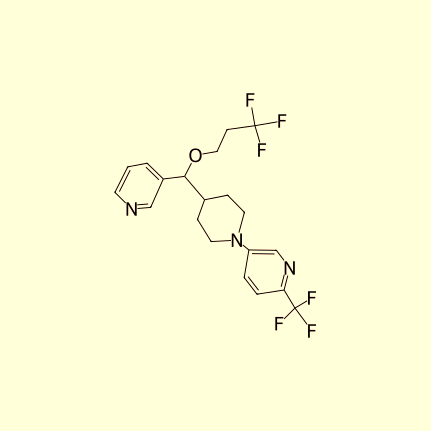 FC(F)(F)CCOC(c1cccnc1)C1CCN(c2ccc(C(F)(F)F)nc2)CC1